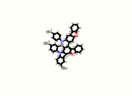 CC(C)(C)c1ccc(N2B3c4cc(C(C)(C)C)ccc4-n4c5ccc(C(C)(C)C)cc5c5c6oc7ccccc7c6c(c3c54)-c3cc4oc5ccccc5c4cc32)cc1